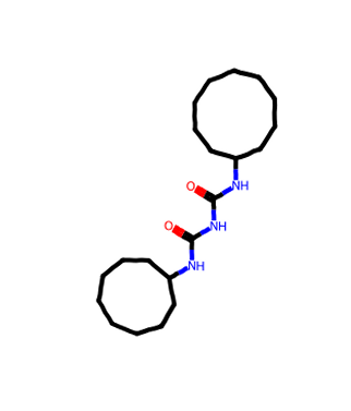 O=C(NC(=O)NC1CCCCCCCC1)NC1CCCCCCCCC1